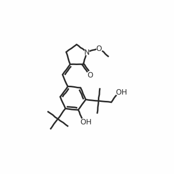 CON1CCC(=Cc2cc(C(C)(C)C)c(O)c(C(C)(C)CO)c2)C1=O